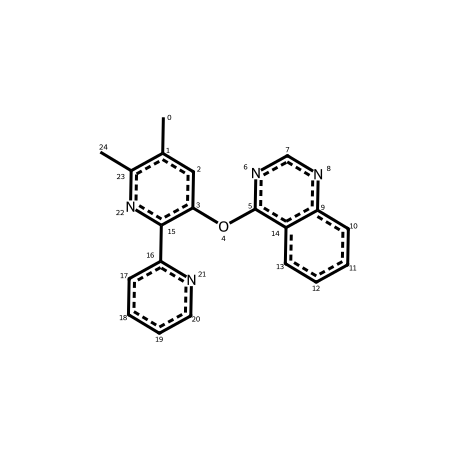 Cc1cc(Oc2ncnc3ccccc23)c(-c2ccccn2)nc1C